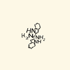 NC(N)(c1cc2ccccc2[nH]1)c1cc2ccccc2[nH]1